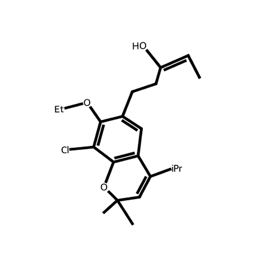 C/C=C(/O)CCc1cc2c(c(Cl)c1OCC)OC(C)(C)C=C2C(C)C